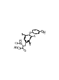 O=C(O)C(Cc1cc(I)c(Oc2ccc(O)cc2)c(I)c1I)NCl